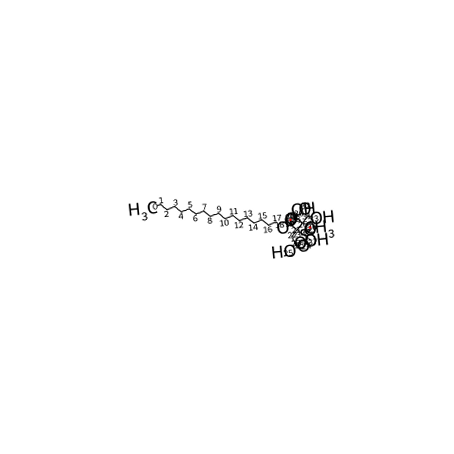 CCCCCCCCCCCCCCCCCCOC(=O)C(CC(=O)O)(C(C)(C(=O)O)C(=O)O)S(=O)(=O)O